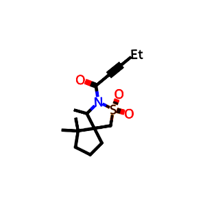 CCC#CC(=O)N1C(C)C2(CCCC2(C)C)CS1(=O)=O